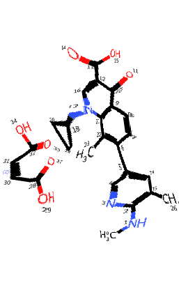 CNc1ncc(-c2ccc3c(=O)c(C(=O)O)cn(C4CC4)c3c2C)cc1C.O=C(O)/C=C\C(=O)O